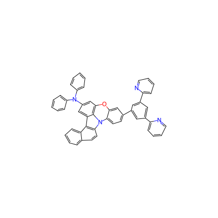 c1ccc(N(c2ccccc2)c2cc3c4c(c2)c2c5ccccc5ccc2n4-c2ccc(-c4cc(-c5ccccn5)cc(-c5ccccn5)c4)cc2O3)cc1